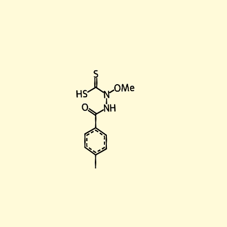 CON(NC(=O)c1ccc(C)cc1)C(=S)S